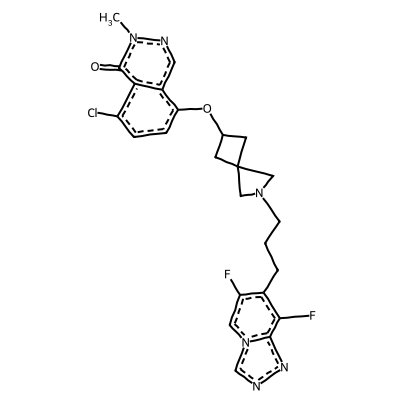 Cn1ncc2c(OC3CC4(C3)CN(CCCc3c(F)cn5cnnc5c3F)C4)ccc(Cl)c2c1=O